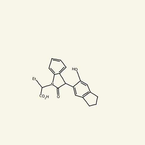 CCC(C(=O)O)N1C(=O)C(c2cc3c(cc2O)CCC3)c2ccccc21